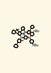 CCCCc1ccc(N(c2ccc(CCCC)cc2)c2ccc3c(c2)B2c4c(cc5c(c4-c4ccccc4N2c2cccc(-c4ccccc4)c2)C(C)(C)c2ccccc2-5)N3c2ccc(-c3ccccc3)cc2C)cc1